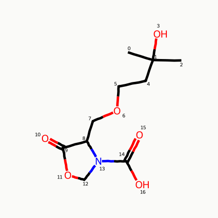 CC(C)(O)CCOCC1C(=O)OCN1C(=O)O